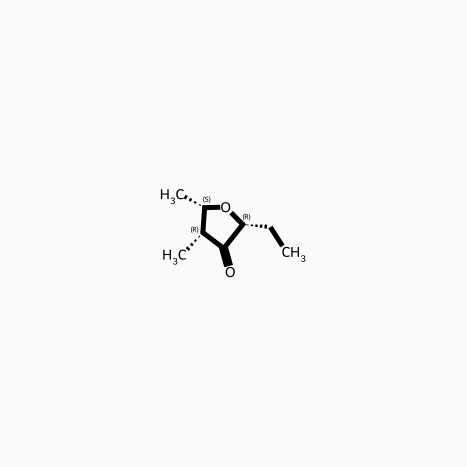 CC[C@H]1O[C@@H](C)[C@@H](C)C1=O